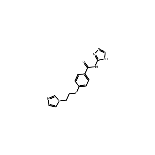 O=C(Nc1nnn[nH]1)c1ccc(OCCn2ccnc2)cc1